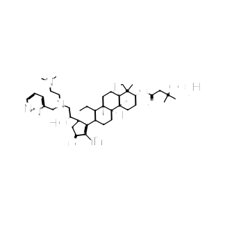 CC(C)C1=C2C3CC[C@@H]4[C@@]5(C)CC[C@H](OC(=O)CC(C)(C)C(=O)O)C(C)(C)[C@@H]5CC[C@@]4(C)[C@]3(C)CC[C@@]2([C@@H](O)CN(CCN(C)C)Cc2cccnn2)CC1=O